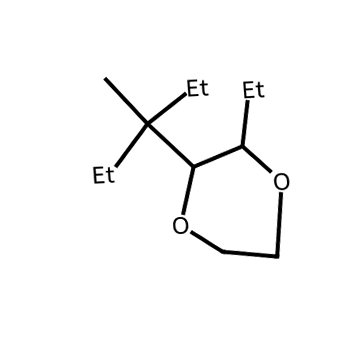 CCC1OCCOC1C(C)(CC)CC